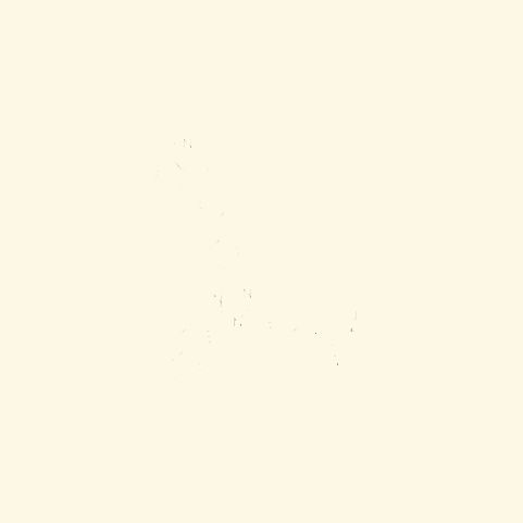 CC[C@@H]1C[C@@H]2C[C@H](C)CC(c3ccc(-c4nc(-c5ccc(-c6ccc7oc8c(C#N)cccc8c7c6)cc5)nc(-c5ccc6ccccc6c5)n4)cc3)(C1)C2